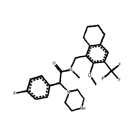 COc1c(C(F)(F)F)cc2c(c1CN(C)C(=O)C(c1ccc(F)cc1)N1CCNCC1)CCCC2